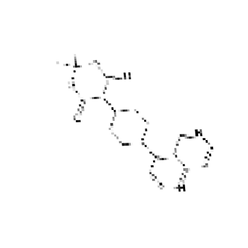 CC1(C)OC(=O)C(C2CCC(c3ccnc4ccncc34)CC2)C(=O)O1